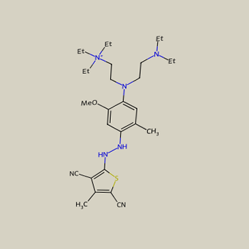 CCN(CC)CCN(CC[N+](CC)(CC)CC)c1cc(C)c(NNc2sc(C#N)c(C)c2C#N)cc1OC